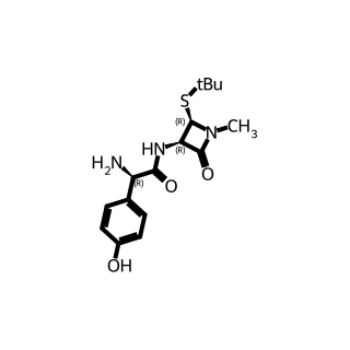 CN1C(=O)[C@@H](NC(=O)[C@H](N)c2ccc(O)cc2)[C@H]1SC(C)(C)C